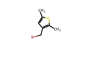 Cc1cc(CBr)c(C)s1